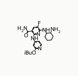 CC(C)COc1cc(Nc2nc(NC3CCCC[C@@H]3N)c(F)cc2C(N)=O)ccn1